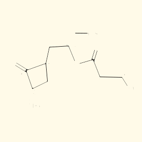 CCCCCCCCCCC[C@@H](CC1C[C@H](CCCCCC)C1=O)OC(=O)CCC(C)C